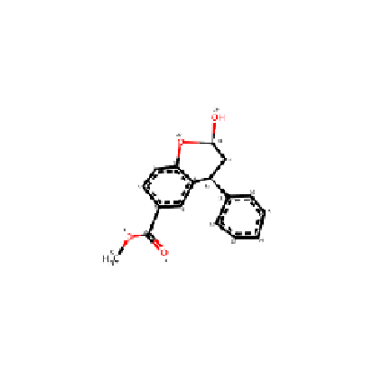 COC(=O)c1ccc2c(c1)[C@H](c1ccccc1)C[C@H](O)O2